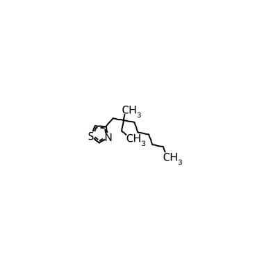 CCCCCCC(C)(CC)Cc1cscn1